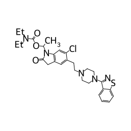 CCN(CC)C(=O)OC(C)N1C(=O)Cc2cc(CCN3CCN(c4nsc5ccccc45)CC3)c(Cl)cc21